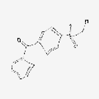 O=C(c1ccccc1)c1ccc(S(=O)(=O)CCl)cc1